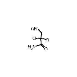 CCCCC(Cl)(Cl)C(N)=O